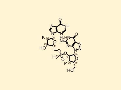 Nc1nc2c(nnn2[C@@H]2O[C@H](CO)[C@H](F)[C@H]2OP(=O)(S)OC[C@H]2O[C@@H](n3cnc4c(=O)[nH]cnc43)[C@@H](F)[C@@H]2O)c(=O)[nH]1